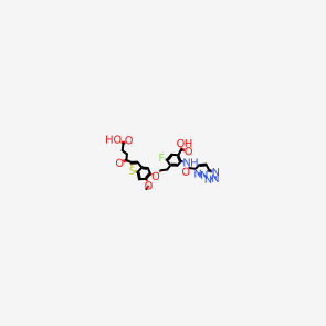 COc1cc2sc(C(=O)CCC(=O)O)cc2cc1OCCc1cc(NC(=O)c2ccc3nnnn3n2)c(C(=O)O)cc1F